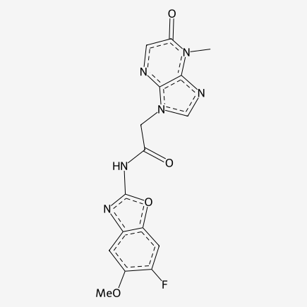 COc1cc2nc(NC(=O)Cn3cnc4c3ncc(=O)n4C)oc2cc1F